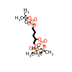 C[Si](C)(C)OS(=O)(=O)OCCCC(COS(C)(=O)=O)OS(=O)(=O)O[Si](C)(C)C